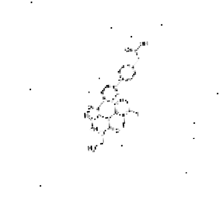 CCOC(=O)N(c1cccc(F)c1F)c1c(C)noc1-c1ccc(-c2ccc(CC(=O)O)cc2)cc1